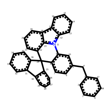 c1ccc(Cc2ccc3c(c2)-n2c4ccccc4c4cccc(c42)C32c3ccccc3-c3ccccc32)cc1